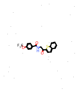 O=C(CNC(=O)c1ccc(OC(F)(F)F)cc1)C1=CC=C2C=CC=CC2S1